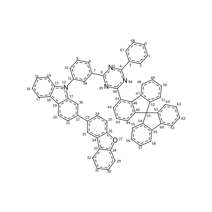 c1ccc(-c2nc(-c3cccc(-n4c5ccccc5c5ccc(-c6ccc7oc8ccccc8c7c6)cc54)c3)nc(-c3cccc4c3-c3ccccc3C43c4ccccc4-c4ccccc43)n2)cc1